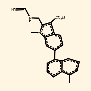 CCOC(=O)c1c(CNC=N)n(C)c2cc(-c3cccc4c(C)cccc34)ccc12